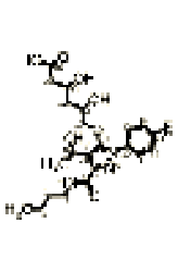 CCCCNC(=O)c1nn(-c2ccc(F)cc2)c(OCC(O)CC(O)CC(=O)O)c1C(C)C